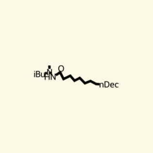 CCCCCCCCCCCCCCCCCC(=O)NN(C)C(C)CC